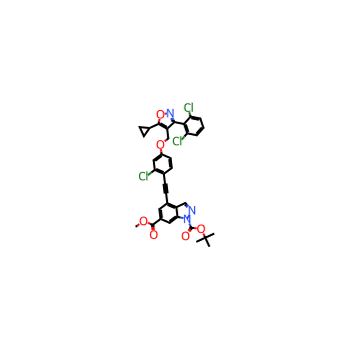 COC(=O)c1cc(C#Cc2ccc(OCc3c(-c4c(Cl)cccc4Cl)noc3C3CC3)cc2Cl)c2cnn(C(=O)OC(C)(C)C)c2c1